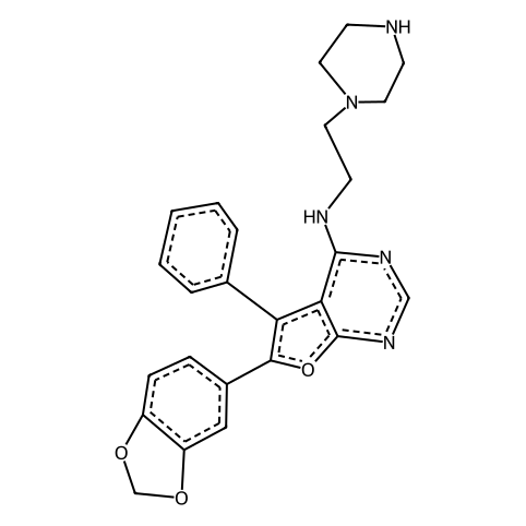 c1ccc(-c2c(-c3ccc4c(c3)OCO4)oc3ncnc(NCCN4CCNCC4)c23)cc1